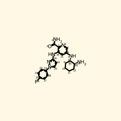 NC(=O)c1ncc(N[C@@H]2CCCC[C@@H]2N)cc1Nc1ccn(-c2ccc(F)cc2)n1